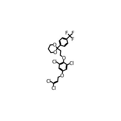 FC(F)(F)c1ccc(C2(CCOc3c(Cl)cc(OCC=C(Cl)Cl)cc3Cl)OCCCO2)cc1